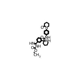 CCOC(=O)NC(=N)c1cccc(C2(C(=O)Nc3ccc(N4CCCCC4=O)cc3)CCCCN2)c1